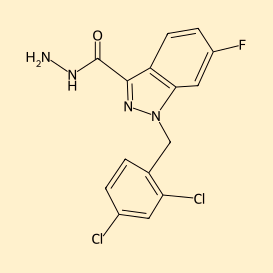 NNC(=O)c1nn(Cc2ccc(Cl)cc2Cl)c2cc(F)ccc12